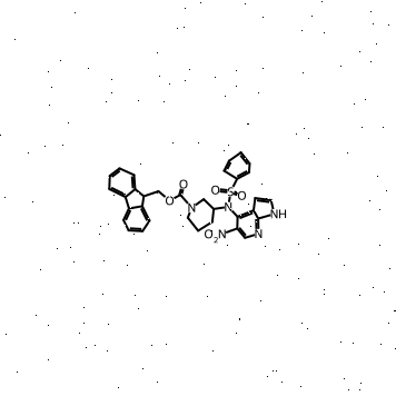 O=C(OCC1c2ccccc2-c2ccccc21)N1CCCC(N(c2c([N+](=O)[O-])cnc3[nH]ccc23)S(=O)(=O)c2ccccc2)C1